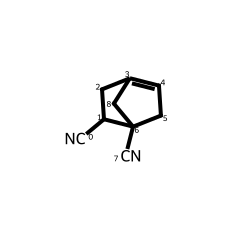 N#CC1CC2=CCC1(C#N)C2